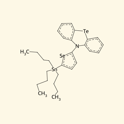 CCC[CH2][Sn]([CH2]CCC)([CH2]CCC)[c]1ccc(N2c3ccccc3[Te]c3ccccc32)[se]1